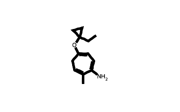 CCC1(OC2=CC=C(N)C(C)=CC2)CC1